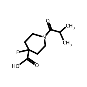 CC(C)C(=O)N1CCC(F)(C(=O)O)CC1